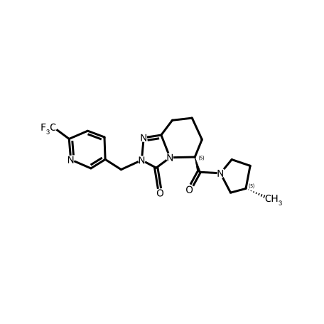 C[C@H]1CCN(C(=O)[C@@H]2CCCc3nn(Cc4ccc(C(F)(F)F)nc4)c(=O)n32)C1